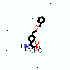 CCNc1c(C=O)c(=O)oc2cc(CCOCc3ccccc3)ccc12